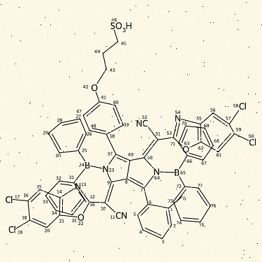 Cc1ccccc1-c1c2/c(=C(\C#N)c3nc4cc(Cl)c(Cl)cc4o3)n(B(c3ccccc3)c3ccccc3)c(-c3ccc(OCCCS(=O)(=O)O)cc3)c2/c(=C(\C#N)c2nc3cc(Cl)c(Cl)cc3o2)n1B(c1ccccc1)c1ccccc1